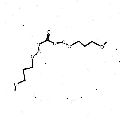 COCCCOOOC(=O)OOOCCCOC